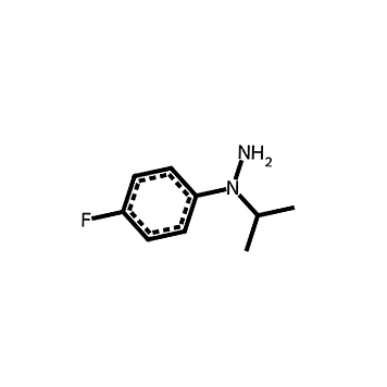 CC(C)N(N)c1ccc(F)cc1